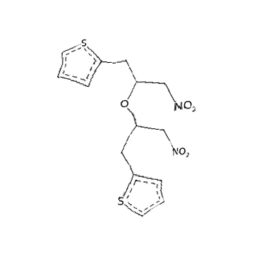 O=[N+]([O-])CC(Cc1cccs1)OC(Cc1cccs1)C[N+](=O)[O-]